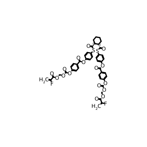 C=C(F)C(=O)OCOC(=O)Oc1ccc(C(=O)Oc2ccc(SC(=O)[C@H]3CCCC[C@@H]3C(=O)Sc3ccc(OC(=O)c4ccc(OC(=O)OCOC(=O)C(=C)F)cc4)cc3)cc2)cc1